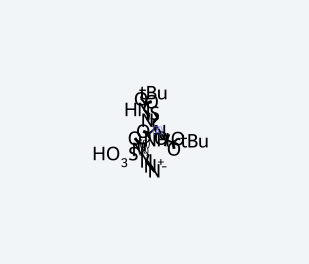 CC(C)(C)OC(=O)Nc1nc(/C(=N/OC(C)(C)C(=O)OC(C)(C)C)C(=O)N[C@@H]2C(=O)N(S(=O)(=O)O)[C@@H]2CN=[N+]=[N-])cs1